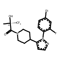 CCc1ccc(-n2nccc2C2CCN(C(=O)[C@@](C)(O)C(F)(F)F)CC2)c(F)c1